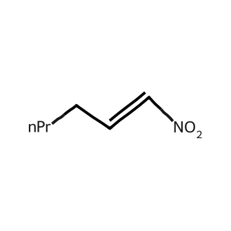 CCCCC=C[N+](=O)[O-]